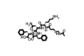 CC(=O)NCSCCC(=O)N[C@@H](CCCCN)C(=O)N[C@@H](CC(N)=O)C(=O)N[C@@H](Cc1ccccc1)C(=O)N[C@@H](Cc1ccccc1)C(=O)O